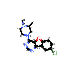 CC1CN(c2ncnc3c2oc2ccc(Cl)cc23)CCN1C